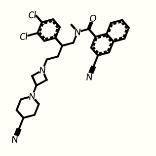 CN(CC(CCN1CC(N2CCC(C#N)CC2)C1)c1ccc(Cl)c(Cl)c1)C(=O)c1cc(C#N)cc2ccccc12